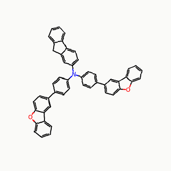 c1ccc2c(c1)Cc1cc(N(c3ccc(-c4ccc5oc6ccccc6c5c4)cc3)c3ccc(-c4ccc5oc6ccccc6c5c4)cc3)ccc1-2